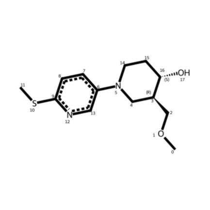 COC[C@H]1CN(c2ccc(SC)nc2)CC[C@@H]1O